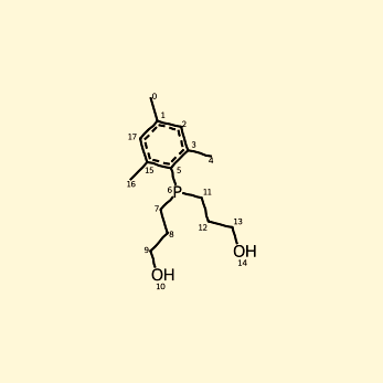 Cc1cc(C)c(P(CCCO)CCCO)c(C)c1